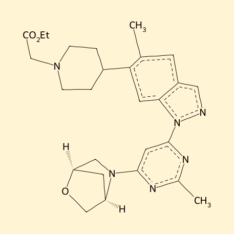 CCOC(=O)CN1CCC(c2cc3c(cnn3-c3cc(N4C[C@H]5C[C@@H]4CO5)nc(C)n3)cc2C)CC1